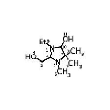 CCN1C(CO)N(C)C(C)(C)C1O